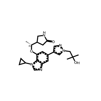 C[C@@H](Oc1cc(-c2cnn(CC(C)(C)O)c2)cc2ncn(C3CC3)c12)C1CNC(=O)C1